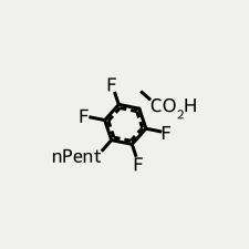 CC(=O)O.CCCCCc1c(F)c(F)cc(F)c1F